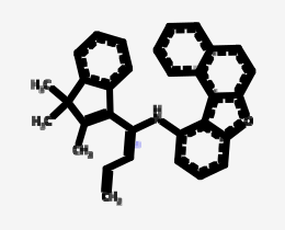 C=C/C=C(/Nc1cccc2oc3ccc4ccccc4c3c12)C1=C(C)C(C)(C)c2ccccc21